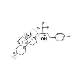 Cc1ccc(CC[C@@](O)([C@H]2CC[C@H]3[C@@H]4CC=C5C[C@@H](O)CC[C@]5(C)[C@H]4CC[C@@]32C)C(F)(F)F)cc1